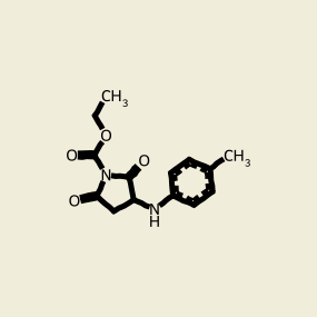 CCOC(=O)N1C(=O)CC(Nc2ccc(C)cc2)C1=O